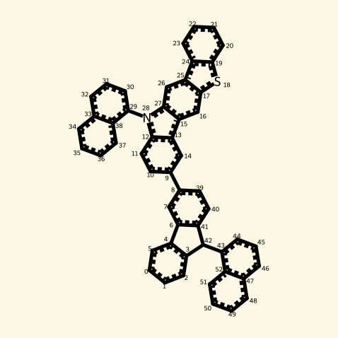 c1ccc2c(c1)-c1cc(-c3ccc4c(c3)c3cc5sc6ccccc6c5cc3n4-c3cccc4ccccc34)ccc1C2c1cccc2ccccc12